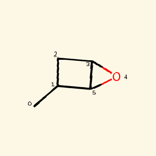 CC1CC2OC12